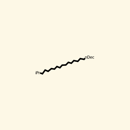 [CH2]CCCCCCCCCCCCCCCCCCCCCCCCC([CH2])C